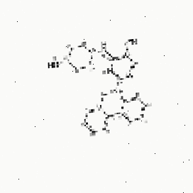 N#Cc1cnc(NCc2ccccc2-c2ccccc2)nc1N[C@H]1CC[C@@H](O)CC1